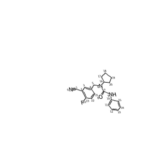 N#Cc1cc(CN(C(=O)Nc2ccccc2)C2CCCC2)ccc1F